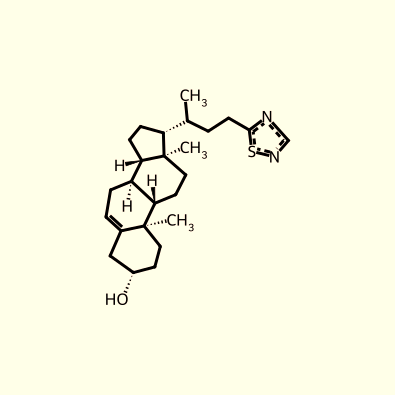 CC(CCc1ncns1)[C@H]1CC[C@H]2[C@@H]3CC=C4C[C@@H](O)CC[C@]4(C)[C@H]3CC[C@]12C